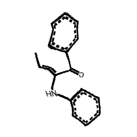 CC=C(Nc1ccccc1)C(=O)c1ccccc1